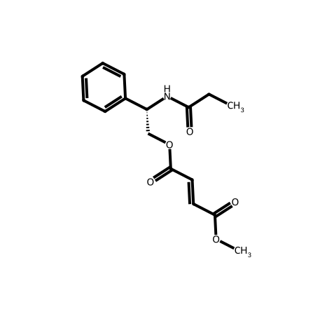 CCC(=O)N[C@H](COC(=O)/C=C/C(=O)OC)c1ccccc1